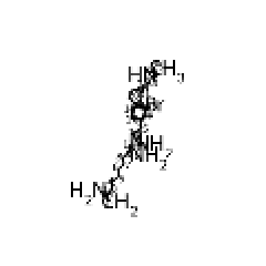 C=C(N)CCCCCC/C(N)=C/N(N)CCc1ccc(OCCCNC)c(Br)c1